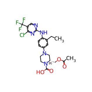 CCc1cc(N2CCN(C(=O)O)[C@@H](COC(C)=O)C2)ccc1Nc1ncc(C(F)(F)F)c(Cl)n1